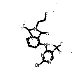 CC1c2cccc(Nc3nc(Br)ncc3C(F)(F)F)c2C(=O)N1CCF